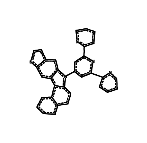 c1ccc(-c2cc(-n3c4cc5ccsc5cc4c4c5ccccc5ccc43)cc(-c3ccccn3)n2)nc1